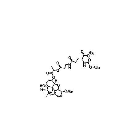 COc1ccc2c3c1O[C@H]1C(OC(=O)C(C)OC(=O)CCNC(=O)CCC(NC(=O)OC(C)(C)C)C(=O)OC(C)(C)C)=CC[C@@]4(O)[C@@H](C2)N(C)CC[C@]314